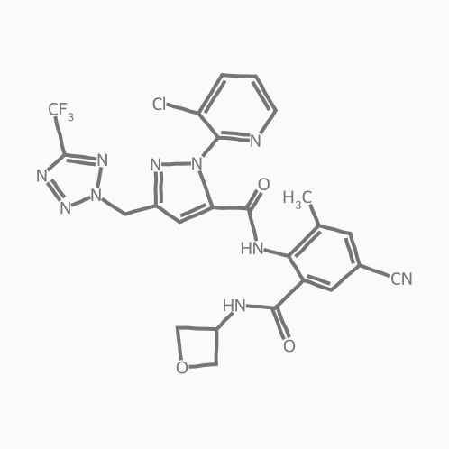 Cc1cc(C#N)cc(C(=O)NC2COC2)c1NC(=O)c1cc(Cn2nnc(C(F)(F)F)n2)nn1-c1ncccc1Cl